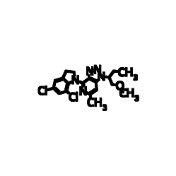 CCC(COC)n1nnc2c(N3CCc4cc(Cl)cc(Cl)c43)nc(C)cc21